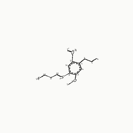 CCCc1cc(OC)c(SCCCF)cc1OC